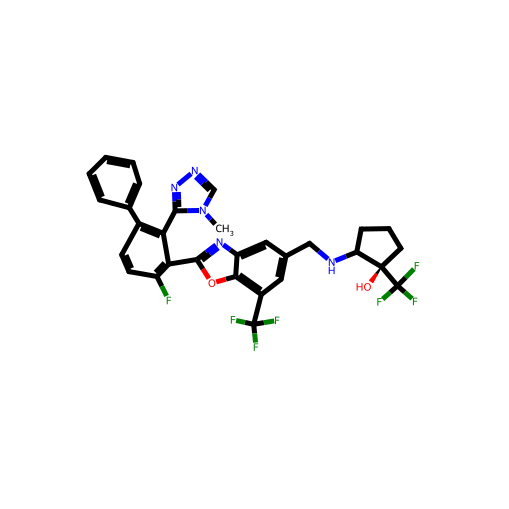 Cn1cnnc1-c1c(-c2ccccc2)ccc(F)c1-c1nc2cc(CNC3CCC[C@]3(O)C(F)(F)F)cc(C(F)(F)F)c2o1